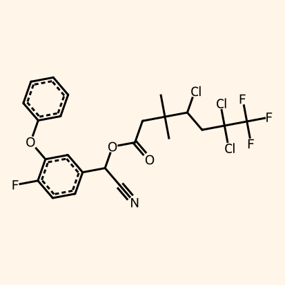 CC(C)(CC(=O)OC(C#N)c1ccc(F)c(Oc2ccccc2)c1)C(Cl)CC(Cl)(Cl)C(F)(F)F